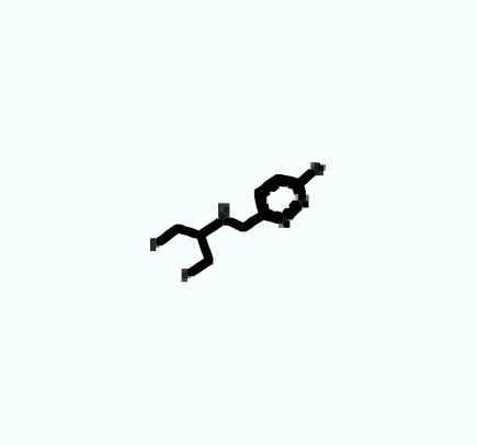 FCC(CF)NCc1ccc(Br)nn1